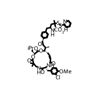 COc1ccc(C[C@H]2NC(=O)C=CC[C@@H]([C@H](C)[C@@H]3O[C@H]3c3ccc(CC(CC(C)(C)SSc4ccccn4)NC(=O)O)cc3)OC(=O)[C@H](CC(C)C)OC(=O)C(C)(C)CNC2=O)cc1Cl